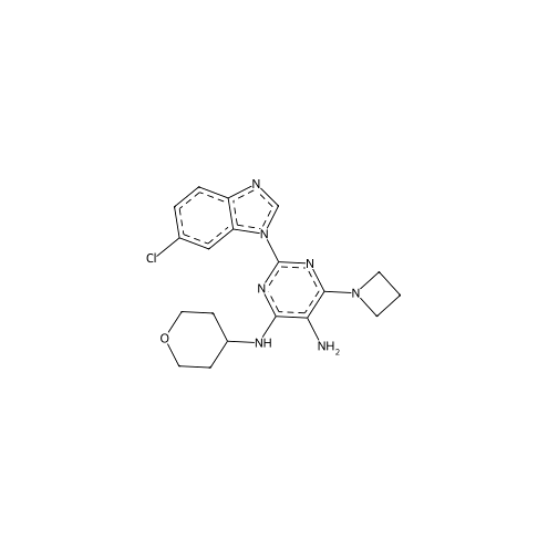 Nc1c(NC2CCOCC2)nc(-n2cnc3ccc(Cl)cc32)nc1N1CCC1